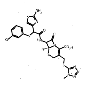 Cn1nnnc1SCC1=C(C(=O)O)N2C(=O)C(NC(=O)C(Sc3cccc(Cl)c3)c3csc(N)n3)[C@@H]2SC1